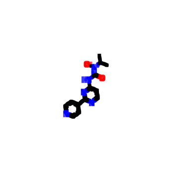 CC(C)[NH+]([O-])C(=O)Nc1ccnc(-c2ccncc2)n1